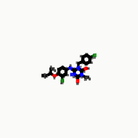 CC(C)Oc1ccc(/N=c2\[nH]c(=O)n(C)c(=O)n2Cc2ccc(Cl)cc2)cc1Cl